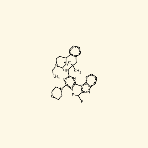 CCN1CCC(c2ccccc2CC(C)(C)Nc2nc(N3CCOCC3)nc(-n3c(C(F)F)nc4ccccc43)n2)CC1